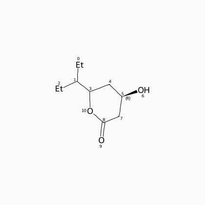 CCC(CC)C1C[C@@H](O)CC(=O)O1